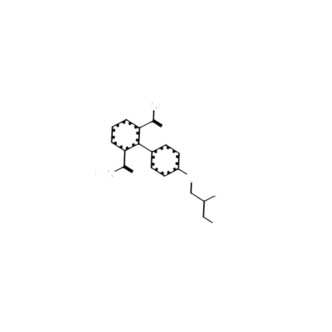 CCC(F)COc1ccc(-c2c(C(N)=O)cccc2C(N)=O)cc1